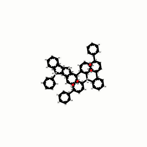 c1ccc(-c2ccc(-c3ccccc3N(c3ccc(-c4ccccc4)cc3)c3ccccc3-c3cccc4c3sc3c5ccccc5n(-c5ccccc5)c43)cc2)cc1